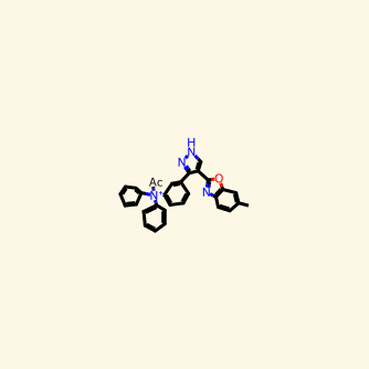 CC(=O)[N+](c1ccccc1)(c1ccccc1)c1cccc(-c2n[nH]cc2-c2nc3ccc(C)cc3o2)c1